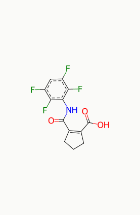 O=C(O)C1=C(C(=O)Nc2c(F)c(F)cc(F)c2F)CCC1